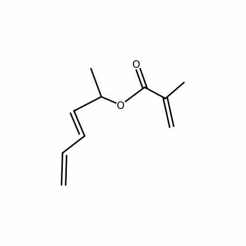 C=CC=CC(C)OC(=O)C(=C)C